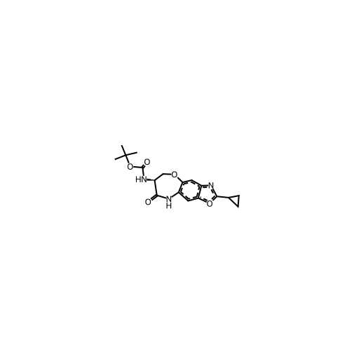 CC(C)(C)OC(=O)N[C@H]1COc2cc3nc(C4CC4)oc3cc2NC1=O